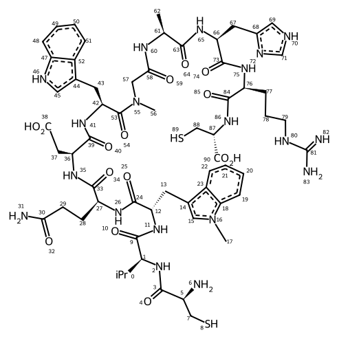 CC(C)[C@H](NC(=O)[C@@H](N)CS)C(=O)N[C@@H](Cc1cn(C)c2ccccc12)C(=O)N[C@@H](CCC(N)=O)C(=O)N[C@@H](CC(=O)O)C(=O)N[C@@H](Cc1c[nH]c2ccccc12)C(=O)N(C)CC(=O)N[C@@H](C)C(=O)N[C@@H](Cc1c[nH]cn1)C(=O)N[C@@H](CCCNC(=N)N)C(=O)N[C@@H](CS)C(=O)O